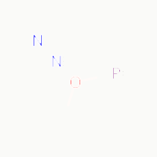 CO[P].[N].[N]